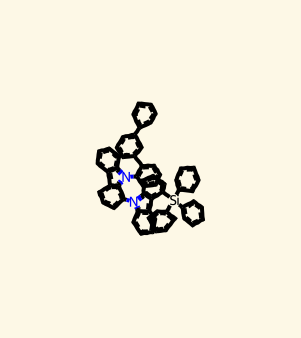 c1ccc(-c2cccc(-c3ccccc3-n3c4ccccc4c4cccc(-n5c6ccccc6c6c([Si](c7ccccc7)(c7ccccc7)c7ccccc7)cccc65)c43)c2)cc1